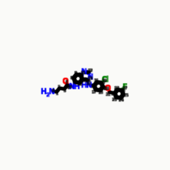 NCCCC(=O)Nc1ccc2ncnc(Nc3ccc(OCc4cccc(F)c4)c(Cl)c3)c2c1